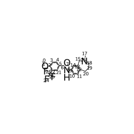 COc1ccc(C(=O)Nc2ccc3c(c2)CN(C)CCC3)cc1C(F)(F)F